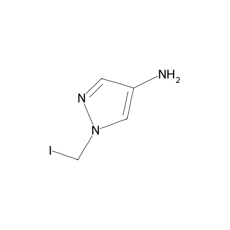 Nc1cnn(CI)c1